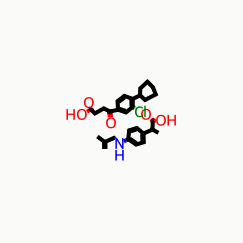 C=C(C)CNc1ccc(C(C)C(=O)O)cc1.O=C(O)CCC(=O)c1ccc(C2CCCCC2)c(Cl)c1